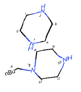 C1CNCCN1.CCCCN1CCNCC1